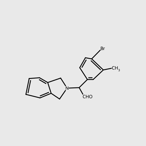 Cc1cc(C(C=O)N2Cc3ccccc3C2)ccc1Br